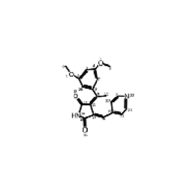 COc1cc(OC)cc(/C(C)=C2\C(=O)NC(=O)\C2=C\c2ccncc2)c1